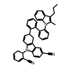 CCCc1c(C)n(-c2ccccc2-c2ccccc2C2C=Cc3c(c4cc(C#N)ccc4n3C3CC=CC=C3C#N)C2)c2ccccc12